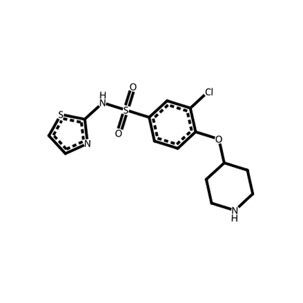 O=S(=O)(Nc1nccs1)c1ccc(OC2CCNCC2)c(Cl)c1